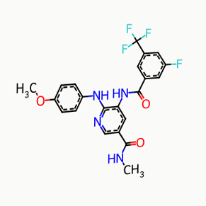 CNC(=O)c1cnc(Nc2ccc(OC)cc2)c(NC(=O)c2cc(F)cc(C(F)(F)F)c2)c1